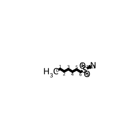 CCCCCCCS(=O)(=O)C#N